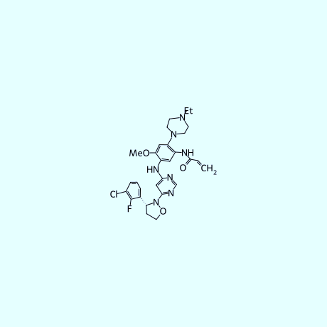 C=CC(=O)Nc1cc(Nc2cc(N3OCC[C@@H]3c3cccc(Cl)c3F)ncn2)c(OC)cc1N1CCN(CC)CC1